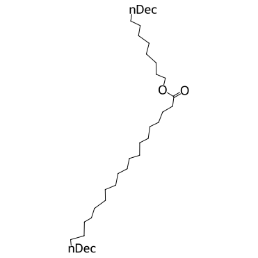 CCCCCCCCCCCCCCCCCCCCCCCCCCCCC(=O)OCCCCCCCCCCCCCCCCCC